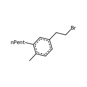 CCCCCc1cc(CCBr)ccc1C